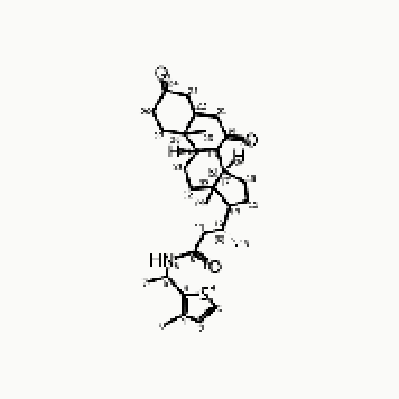 Cc1ccsc1C(C)NC(=O)C[C@@H](C)C1CC[C@H]2C3C(=O)CC4CC(=O)CCC4(C)[C@H]3CCC12C